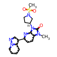 Cn1c(=O)n([C@H]2CCN(S(C)(=O)=O)C2)c2nc(-c3cnn4ccccc34)ccc21